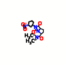 CCN(CC)C(=O)C1CCC2C(=O)N(c3cccc([N+](=O)[O-])c3)C(=O)N12